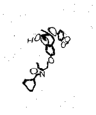 Cc1oc(C2CCCCC2)nc1CCOc1ccc(CC(C)(Oc2ccc3c(c2)OCO3)C(=O)O)cc1